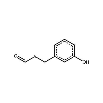 O=CSCc1cccc(O)c1